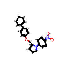 O=[N+]([O-])c1ccc(N2CCC[C@H]2COc2c[c]c(C3CCCCC3)cc2)cc1